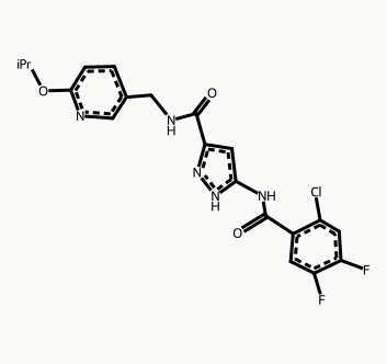 CC(C)Oc1ccc(CNC(=O)c2cc(NC(=O)c3cc(F)c(F)cc3Cl)[nH]n2)cn1